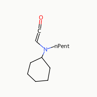 CCCCCN(C=C=O)C1CCCCC1